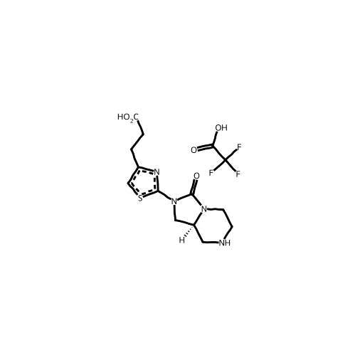 O=C(O)C(F)(F)F.O=C(O)CCc1csc(N2C[C@@H]3CNCCN3C2=O)n1